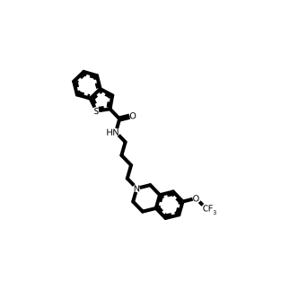 O=C(NCCCCN1CCc2ccc(OC(F)(F)F)cc2C1)c1cc2ccccc2s1